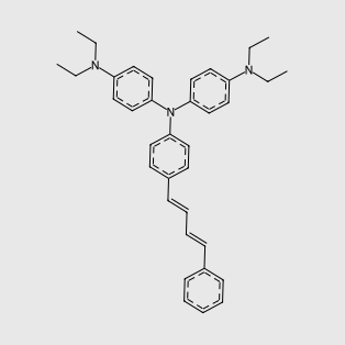 CCN(CC)c1ccc(N(c2ccc(/C=C/C=C/c3ccccc3)cc2)c2ccc(N(CC)CC)cc2)cc1